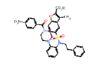 CCOC(=O)c1oc2ccc(S(=O)(=O)N(CCc3ccccc3)c3ccccc3N3CCN(C(=O)c4ccc([N+](=O)[O-])cc4)CC3)cc2c1C